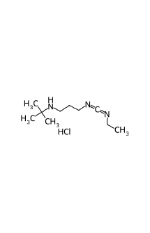 CCN=C=NCCCNC(C)(C)C.Cl